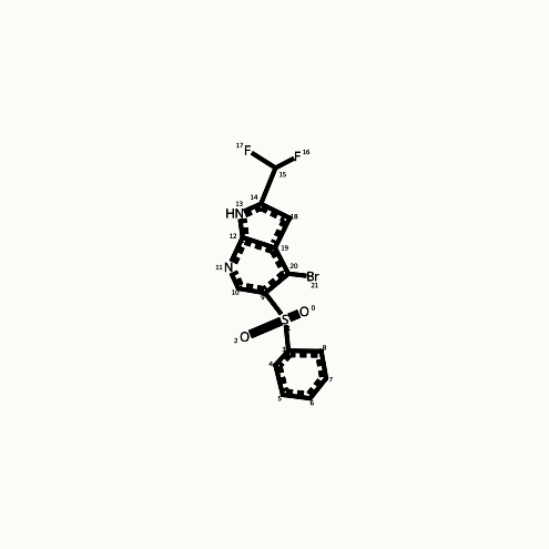 O=S(=O)(c1ccccc1)c1cnc2[nH]c(C(F)F)cc2c1Br